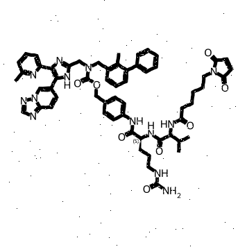 Cc1cccc(-c2nc(CN(Cc3cccc(-c4ccccc4)c3C)C(=O)OCc3ccc(NC(=O)[C@H](CCCNC(N)=O)NC(=O)C(NC(=O)CCCCCN4C(=O)C=CC4=O)C(C)C)cc3)[nH]c2-c2ccc3ncnn3c2)n1